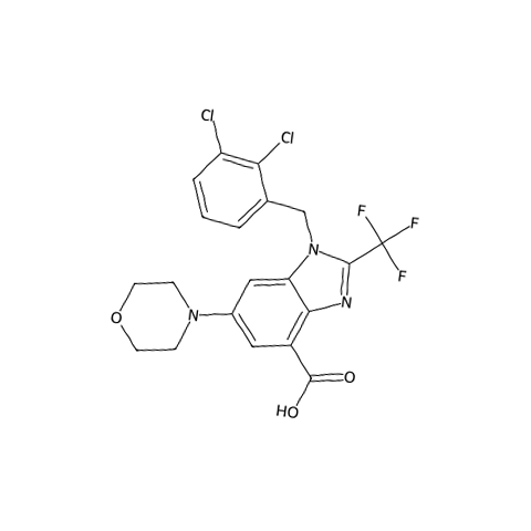 O=C(O)c1cc(N2CCOCC2)cc2c1nc(C(F)(F)F)n2Cc1cccc(Cl)c1Cl